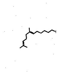 CC(C)=CCCC(C)=CCCCCCI